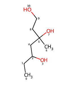 CCC(O)CC(C)(O)CCO